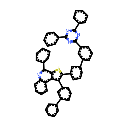 c1ccc(-c2cccc(-c3c(-c4cccc(-c5cccc(-c6nc(-c7ccccc7)nc(-c7ccccc7)n6)c5)c4)sc4c(-c5ccccc5)nc5ccccc5c34)c2)cc1